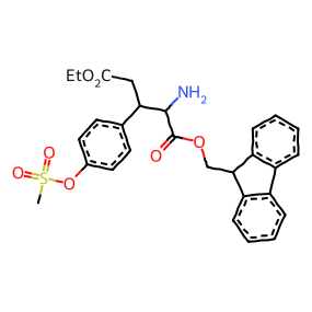 CCOC(=O)CC(c1ccc(OS(C)(=O)=O)cc1)C(N)C(=O)OCC1c2ccccc2-c2ccccc21